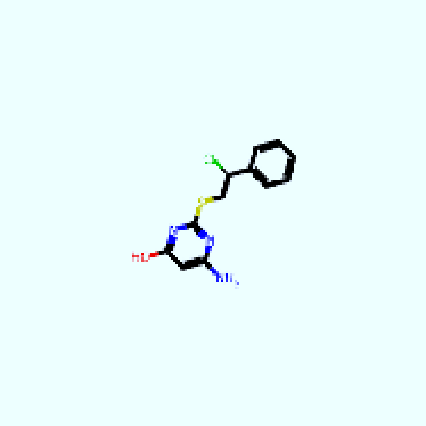 Nc1cc(O)nc(SC[C@@H](Cl)c2ccccc2)n1